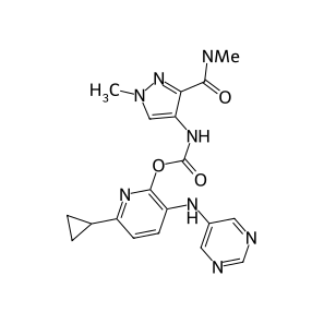 CNC(=O)c1nn(C)cc1NC(=O)Oc1nc(C2CC2)ccc1Nc1cncnc1